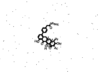 CCCCCC(=O)Cc1ccc(-c2ccc(O)c3c2C[C@]2(C)C[C@]4(C)C(C(C)C)C(O)=C(C(C)=O)C(=O)[C@]4(O)C(O)=C2C3=O)cc1